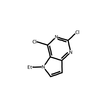 CCn1ccc2nc(Cl)nc(Cl)c21